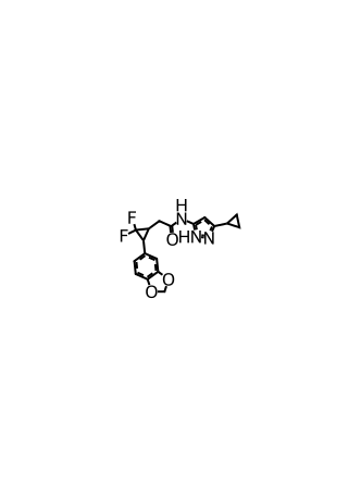 O=C(CC1C(c2ccc3c(c2)OCO3)C1(F)F)Nc1cc(C2CC2)n[nH]1